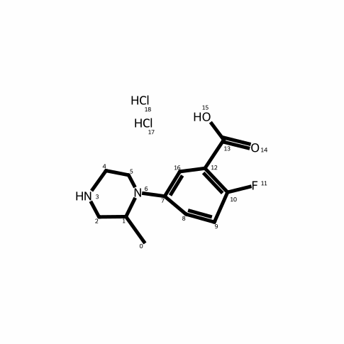 CC1CNCCN1c1ccc(F)c(C(=O)O)c1.Cl.Cl